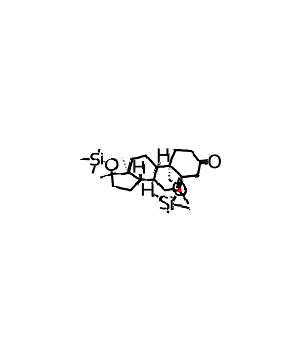 CC1=C2CC(=O)CC[C@]2(CO[Si](C)(C)C)[C@@H]2CC[C@@]3(C)[C@@H](CCC3(C)O[Si](C)(C)C)[C@@H]2C1